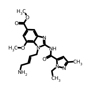 CCn1nc(C)cc1C(=O)Nc1nc2cc(C(=O)OC)cc(OC)c2n1C/C=C/CN